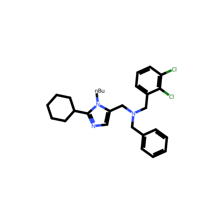 CCCCn1c(CN(Cc2ccccc2)Cc2cccc(Cl)c2Cl)cnc1C1CCCCC1